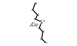 CCCCSCCCC.[Cu]